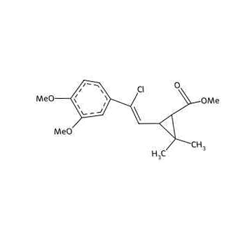 COC(=O)C1C(C=C(Cl)c2ccc(OC)c(OC)c2)C1(C)C